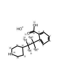 Cl.[2H]C([2H])(c1ccccc1C(=O)O)C([2H])([2H])C1CCNCC1